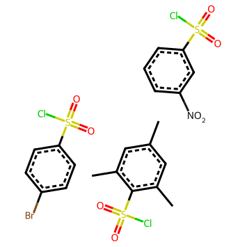 Cc1cc(C)c(S(=O)(=O)Cl)c(C)c1.O=S(=O)(Cl)c1ccc(Br)cc1.O=[N+]([O-])c1cccc(S(=O)(=O)Cl)c1